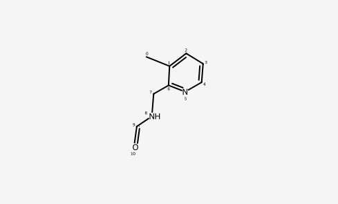 Cc1cccnc1CN[C]=O